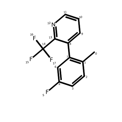 Cc1ccc(F)cc1-c1cccnc1C(F)(F)F